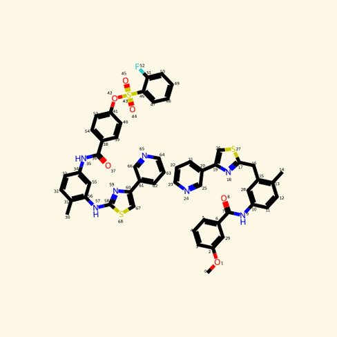 COc1cccc(C(=O)Nc2ccc(C)c(Cc3nc(-c4cccnc4)cs3)c2)c1.Cc1ccc(NC(=O)c2ccc(OS(=O)(=O)c3ccccc3F)cc2)cc1Nc1nc(-c2cccnc2)cs1